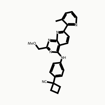 COCc1nc(Nc2ccc(C3(C#N)CCC3)cc2)c2ccc(-c3ncccc3C)nc2n1